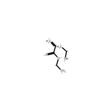 C=CC(=O)OCC.[CH2]CO